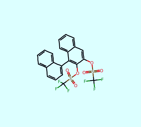 O=S(=O)(Oc1cc2ccccc2c(-c2cccc3ccccc23)c1OS(=O)(=O)C(F)(F)F)C(F)(F)F